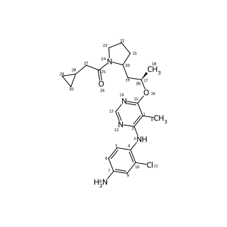 Cc1c(Nc2ccc(N)cc2Cl)ncnc1O[C@H](C)CC1CCCN1C(=O)CC1CC1